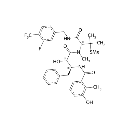 CSC(C)(C)[C@@H](C(=O)NCc1ccc(C(F)(F)F)c(F)c1)N(C)C(=O)[C@@H](O)[C@H](Cc1ccccc1)NC(=O)c1cccc(O)c1C